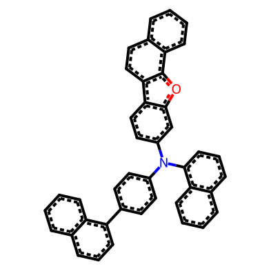 c1ccc2c(-c3ccc(N(c4ccc5c(c4)oc4c6ccccc6ccc54)c4cccc5ccccc45)cc3)cccc2c1